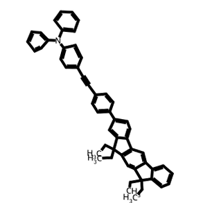 CCC1(CC)c2ccccc2-c2cc3c(cc21)C(CC)(CC)c1cc(-c2ccc(C#Cc4ccc(N(c5ccccc5)c5ccccc5)cc4)cc2)ccc1-3